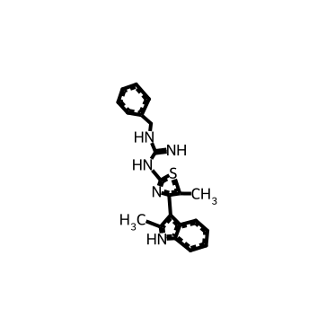 Cc1[nH]c2ccccc2c1-c1nc(NC(=N)NCc2ccccc2)sc1C